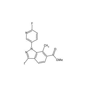 COC(=O)c1ccc2c(I)nn(-c3ccc(F)nc3)c2c1C